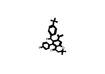 CC(C)c1cc2c(c(-c3ccc(F)cc3)c1C(F)c1ccc(C(C)(C)C)cc1)C(=O)CC(C)(C)O2